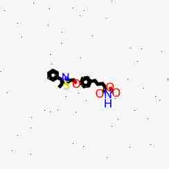 Cc1sc(COc2ccc(CCCC3OC(=O)NC3=O)cc2)nc1-c1ccccc1